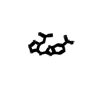 O=C(O)Cn1nnnc1Sc1nc2ccc([N+](=O)[O-])cc2s1